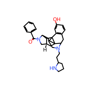 O=C(c1ccccc1)N1C[C@H]2CC34CCC1C2C31CCN(CCC2CCCN2)C4Cc2ccc(O)cc21